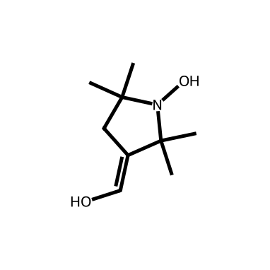 CC1(C)CC(=CO)C(C)(C)N1O